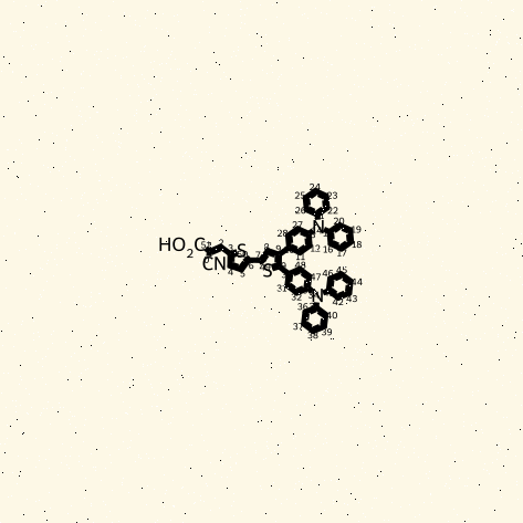 N#C/C(=C\c1ccc(-c2cc(-c3ccc(N(c4ccccc4)c4ccccc4)cc3)c(-c3ccc(N(c4ccccc4)c4ccccc4)cc3)s2)s1)C(=O)O